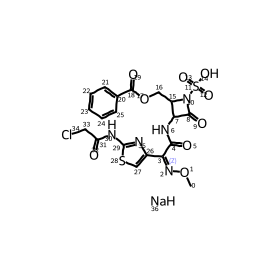 CO/N=C(\C(=O)NC1C(=O)N(S(=O)(=O)O)C1COC(=O)c1ccccc1)c1csc(NC(=O)CCl)n1.[NaH]